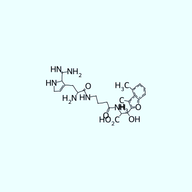 Cc1cccc2oc(C(O)C(NC(=O)CCCNC(=O)C(N)CC3=CCNC3C(=N)N)C(=O)O)c(C)c12